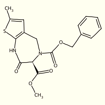 COC(=O)[C@H]1C(=O)Nc2sc(C)cc2CN1C(=O)OCc1ccccc1